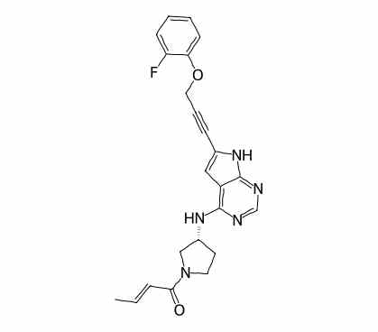 C/C=C/C(=O)N1CC[C@@H](Nc2ncnc3[nH]c(C#CCOc4ccccc4F)cc23)C1